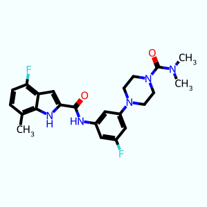 Cc1ccc(F)c2cc(C(=O)Nc3cc(F)cc(N4CCN(C(=O)N(C)C)CC4)c3)[nH]c12